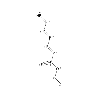 CCOP(#P)P=PP=PP=P